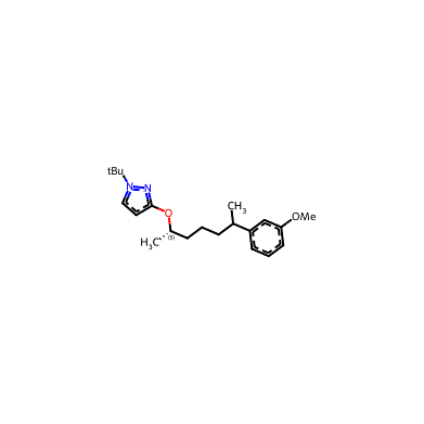 COc1cccc(C(C)CCC[C@H](C)Oc2ccn(C(C)(C)C)n2)c1